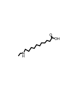 CCNCCCCCCCCCCC(=O)O